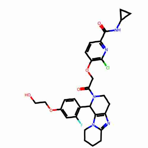 O=C(NC1CC1)c1ccc(OCC(=O)N2CCc3nc4n(c3C2c2ccc(OCCO)cc2F)CCCC4)c(Cl)n1